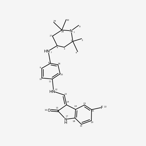 CN1C(C)(C)CC(Nc2ccc(NC=C3C(=O)Nc4ccc(F)cc43)cc2)CC1(C)C